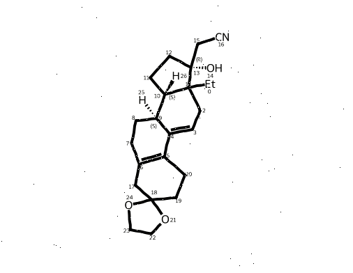 CCC12CC=C3C4=C(CC[C@H]3[C@@H]1CC[C@@]2(O)CC#N)CC1(CC4)OCCO1